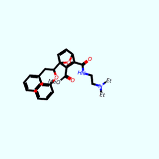 CCN(CC)CCNC(=O)C1=C(C(=O)OC)C2(C(Cc3ccccc3)Oc3ccccc3)C=CC1O2